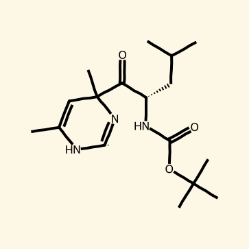 CC1=CC(C)(C(=O)[C@H](CC(C)C)NC(=O)OC(C)(C)C)N=[C]N1